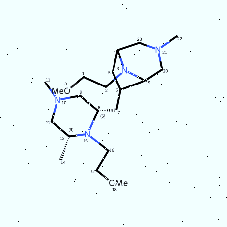 COCCN1C2CC(C[C@H]3CN(C)C[C@@H](C)N3CCOC)C1CN(C)C2